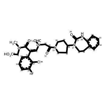 CN(CC(=O)O)C(=O)/C(=C\N(C=O)CC(=O)N1CCC(N2CCc3ccccc3NC2=O)CC1)c1cccc(F)c1Cl